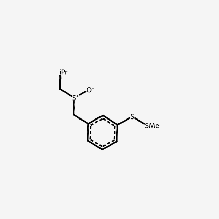 CSSc1cccc(C[S+]([O-])CC(C)C)c1